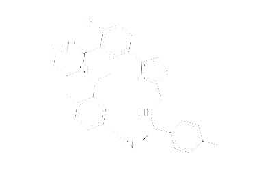 COc1cc(C#N)ccc1C[C@H](CO)NC(=O)c1cc(-c2ccc(CN[C@H](C)c3ccc(C)cc3)o2)ccc1Cl